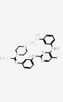 CC(=Nc1cccc(Nc2ncc(F)c(Nc3cccc(O)c3)n2)c1)N1CCN(C)CC1